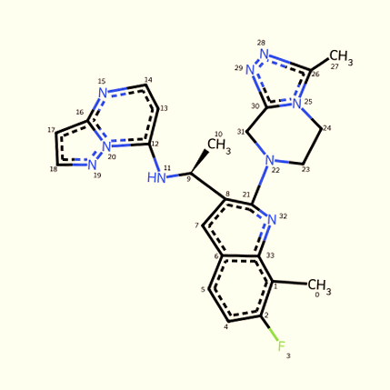 Cc1c(F)ccc2cc([C@H](C)Nc3ccnc4ccnn34)c(N3CCn4c(C)nnc4C3)nc12